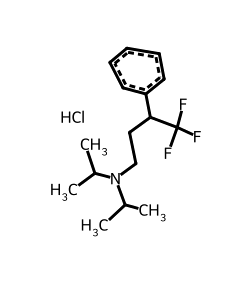 CC(C)N(CCC(c1ccccc1)C(F)(F)F)C(C)C.Cl